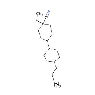 CCCC1CCC(C2CCC(C#N)(CC)CC2)CC1